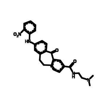 CN(C)CCNC(=O)c1ccc2c(c1)C(=O)c1ccc(Nc3ccccc3[N+](=O)[O-])cc1CC2